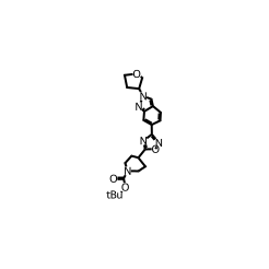 CC(C)(C)OC(=O)N1CCC(c2nc(-c3ccc4cn(C5CCOC5)nc4c3)no2)CC1